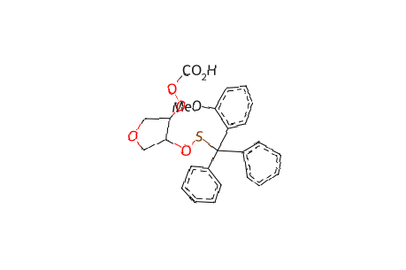 COc1ccccc1C(SOC1COCC1OOC(=O)O)(c1ccccc1)c1ccccc1